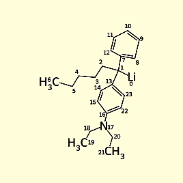 [Li][C](CCCCC)(c1ccccc1)c1ccc(N(CC)CC)cc1